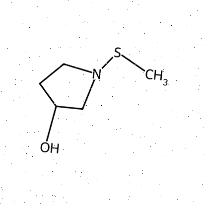 CSN1CCC(O)C1